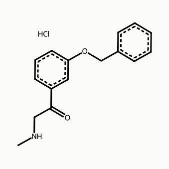 CNCC(=O)c1cccc(OCc2ccccc2)c1.Cl